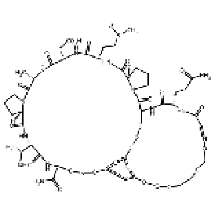 C[C@@H]1NC(=O)[C@H](CC(=O)O)NC(=O)[C@@H](CC[S+](C)[O-])NC(=O)[C@@H]2CCCN2C(=O)[C@@H]2CSCc3cc(cc(c3)OCCCCCCO/N=C/C(=O)N[C@@H](CCC(N)=O)C(=O)N2)CSC[C@@H](C(N)=O)NC(=O)[C@H]([C@@H](C)O)NC(=O)[C@@H]2CCCN2C1=O